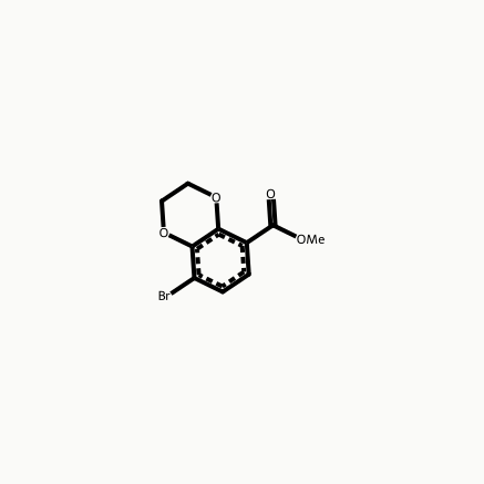 COC(=O)c1ccc(Br)c2c1OCCO2